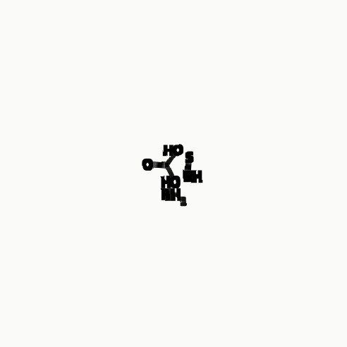 O=C(O)O.[BiH3].[S]=[BiH]